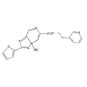 N[N+]12C=C(C#CCOc3cccnc3)N=CC1=NC(c1ccco1)=N2